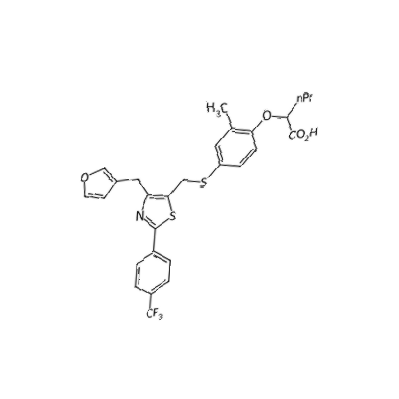 CCCC(Oc1ccc(SCc2sc(-c3ccc(C(F)(F)F)cc3)nc2Cc2ccoc2)cc1C)C(=O)O